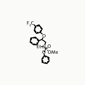 CCN(CC(Oc1ccc(C(F)(F)F)cc1)c1ccccc1)P(=O)(OC)Oc1ccccc1